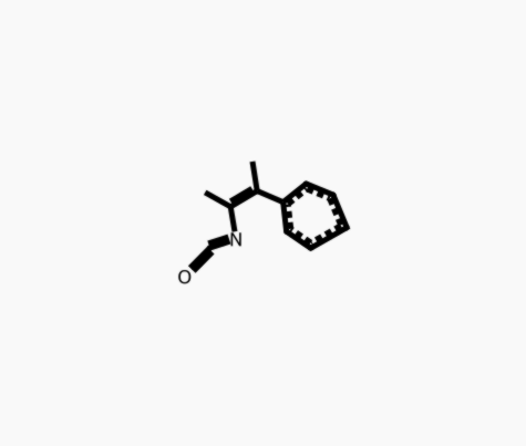 C/C(N=C=O)=C(\C)c1ccccc1